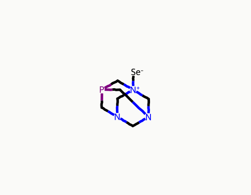 [Se-][N+]12CN3CN(CP(C3)C1)C2